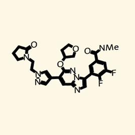 CNC(=O)c1cc(F)c(F)c(-c2cnc3cc(-c4cnn(CCN5CCCC5=O)c4)c(OC4CCOC4)nn23)c1